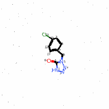 O=c1[nH]nnn1Cc1ccc(Cl)cc1